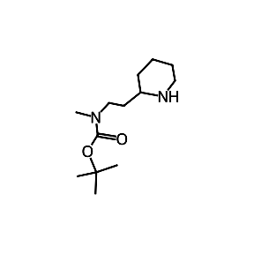 CN(CCC1CCCCN1)C(=O)OC(C)(C)C